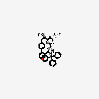 CCCCN(Cc1ccc(-c2ccccc2-c2nnnn2C(c2ccccc2)(c2ccccc2)c2ccccc2)cc1)c1nc(C)ncc1C(=O)OCC